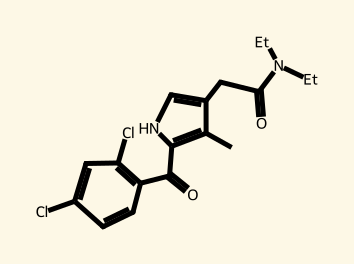 CCN(CC)C(=O)Cc1c[nH]c(C(=O)c2ccc(Cl)cc2Cl)c1C